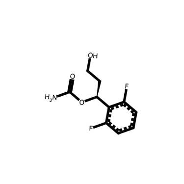 NC(=O)O[C@@H](CCO)c1c(F)cccc1F